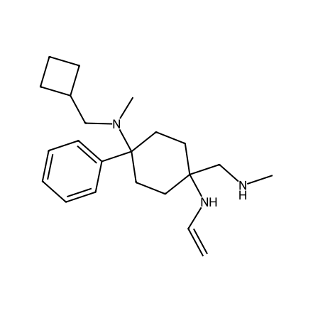 C=CNC1(CNC)CCC(c2ccccc2)(N(C)CC2CCC2)CC1